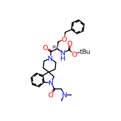 CN(C)CC(=O)N1CC2(CCN(C(=O)[C@@H](COCc3ccccc3)NC(=O)OC(C)(C)C)CC2)c2ccccc21